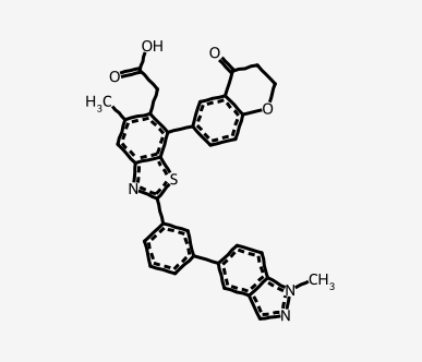 Cc1cc2nc(-c3cccc(-c4ccc5c(cnn5C)c4)c3)sc2c(-c2ccc3c(c2)C(=O)CCO3)c1CC(=O)O